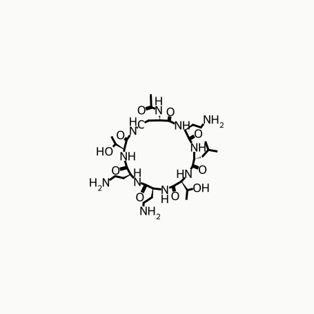 CC(=O)N[C@H]1CCNC(=O)[C@H](C(C)O)NC(=O)[C@H](CCN)NC(=O)[C@H](CCN)NC(=O)[C@H](C(C)O)NC(=O)[C@@H](CC(C)C)NC(=O)[C@H](CCN)NC1=O